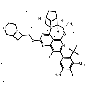 Cc1c(F)c(N)cc(-c2nc3c4c(nc(OCC5CC6COCCN65)nc4c2F)N2C[C@H]4CC[C@H](N4)[C@H]2[C@H](C)O3)c1C(F)(F)F